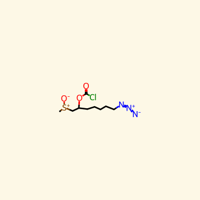 C[S+]([O-])CC(CCCCCN=[N+]=[N-])OC(=O)Cl